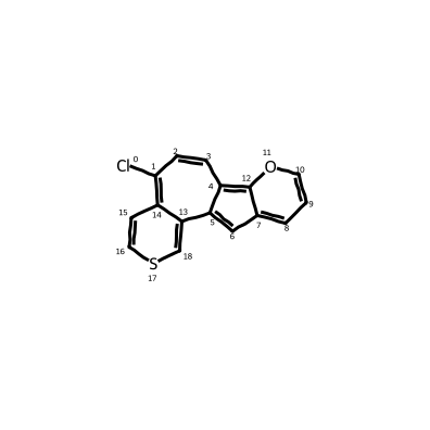 Clc1ccc2c(cc3cccoc32)c2c1C=CSC=2